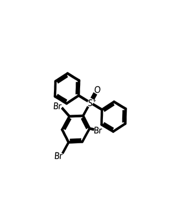 O=[S+](c1ccccc1)(c1ccccc1)c1c(Br)cc(Br)cc1Br